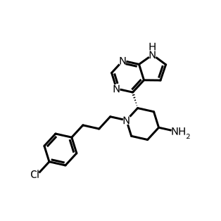 NC1CCN(CCCc2ccc(Cl)cc2)[C@H](c2ncnc3[nH]ccc23)C1